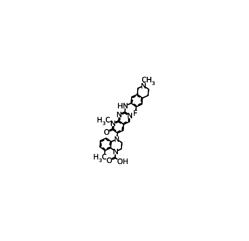 Cc1cccc2c1N(C(=O)O)CCN2c1cc2cnc(Nc3cc4c(cc3F)CCN(C)C4)nc2n(C)c1=O